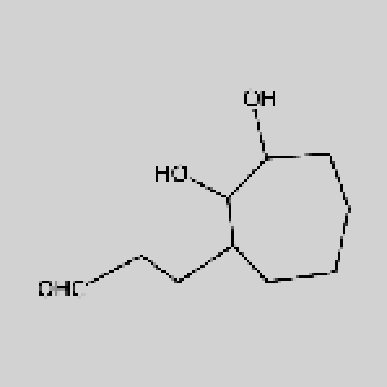 O=CCCC1CCCCC(O)C1O